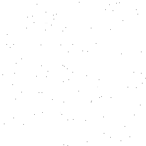 CCCCCC(=O)C(C)Br